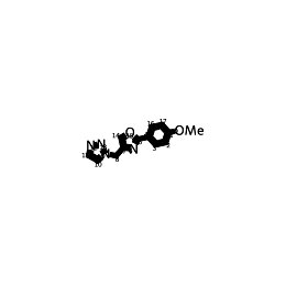 COc1ccc(-c2nc(Cn3ccnn3)co2)cc1